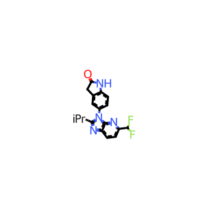 CC(C)c1nc2ccc(C(F)F)nc2n1-c1ccc2c(c1)CC(=O)N2